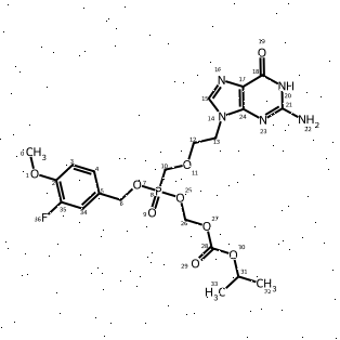 COc1ccc(COP(=O)(COCCn2cnc3c(=O)[nH]c(N)nc32)OCOC(=O)OC(C)C)cc1F